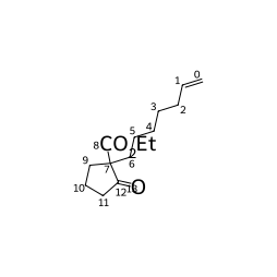 C=CCCCCCC1(C(=O)OCC)CCCC1=O